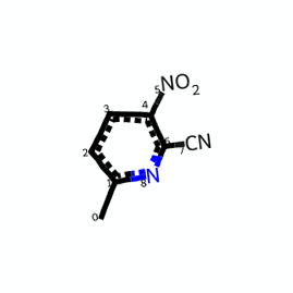 Cc1ccc([N+](=O)[O-])c(C#N)n1